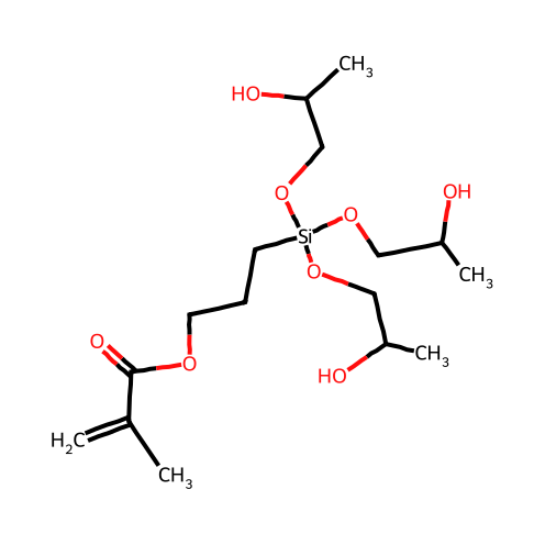 C=C(C)C(=O)OCCC[Si](OCC(C)O)(OCC(C)O)OCC(C)O